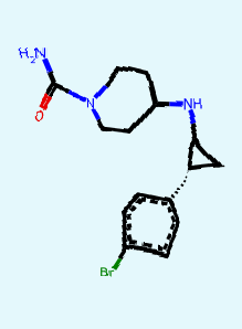 NC(=O)N1CCC(NC2C[C@@H]2c2ccc(Br)cc2)CC1